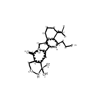 CC[C@@]1(O)NOCc2c1cc1n(c2=O)Cc2c-1nc(CCF)c1c2CCCC1=C(C)C